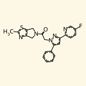 Cc1nc2c(s1)CN(C(=O)Cn1nc(-c3ccc(F)cn3)cc1-c1ccccc1)C2